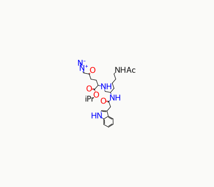 CC(=O)NCCCCC(CNC(CCC(=O)C=[N+]=[N-])C(=O)OC(C)C)NC(=O)Cc1c[nH]c2ccccc12